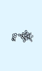 CC1(C)c2ccccc2-c2ccc(N(c3ccc(-c4ccc5ccc6cc7cccnc7c7ccc4c5c67)cc3)c3ccc4c(c3)C(C)(C)c3ccccc3-4)cc21